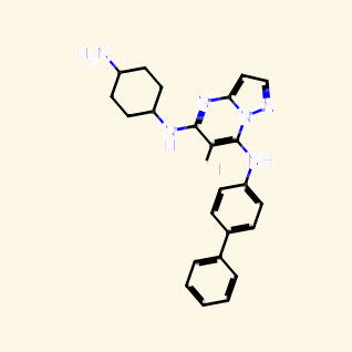 Cc1c(NC2CCC(N)CC2)nc2ccnn2c1Nc1ccc(-c2ccccc2)cc1